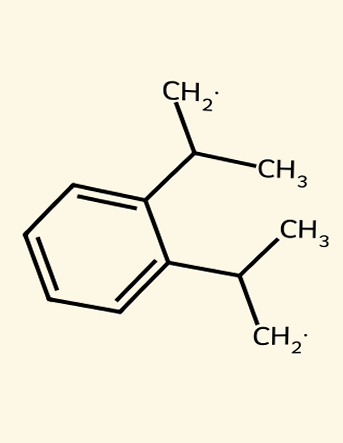 [CH2]C(C)c1ccccc1C([CH2])C